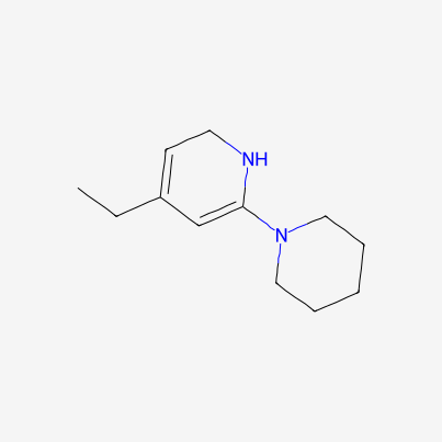 CCC1=CCNC(N2CCCCC2)=C1